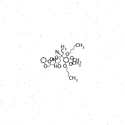 CCCCCOc1cc(C(C#N)(CC)CCC(O)C(CC2COc3ccccc3O2)[N+](=O)[O-])c(OCCCCC)c(OC)c1OC